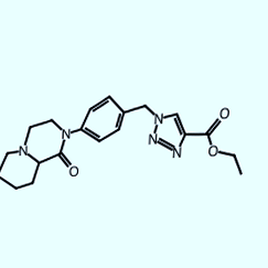 CCOC(=O)c1cn(Cc2ccc(N3CCN4CCCCC4C3=O)cc2)nn1